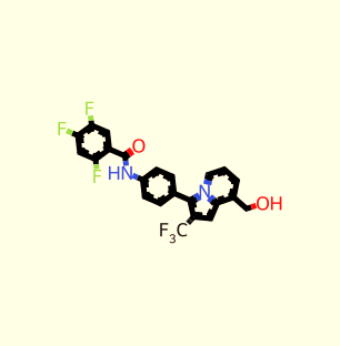 O=C(Nc1ccc(-c2c(C(F)(F)F)cc3c(CO)cccn23)cc1)c1cc(F)c(F)cc1F